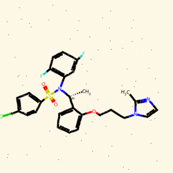 Cc1nccn1CCCOc1ccccc1[C@@H](C)N(c1cc(F)ccc1F)S(=O)(=O)c1ccc(Cl)cc1